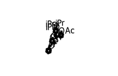 CC(=O)Oc1cccc(C(Sc2c(O)ccc(OCc3ccccc3)c2F)C(=O)c2ccc(O[Si](C(C)C)(C(C)C)C(C)C)cc2)c1